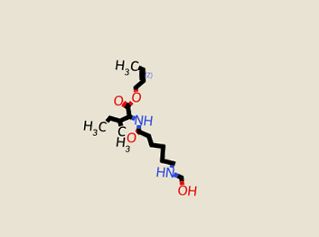 C/C=C\COC(=O)C(NC(=O)CCCCCNCO)C(C)CC